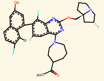 CCc1c(F)ccc2cc(O)cc(-c3c(F)cc4c(N5CCCC(C(=O)OC)CC5)nc(OC[C@@]56CCCN5C[C@H](F)C6)nc4c3F)c12